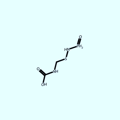 O=[PH2]NSCNC(=O)O